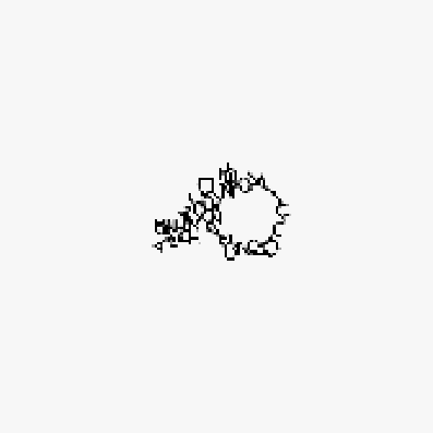 C=C[C@@H]1C[C@]1(NC(=O)C1CC2CN1C(=O)C(C1CCCC1)NC(=O)OC1(C)CC1CCCCCc1cccc3c1CN(C3)C(=O)O2)C(=O)NS(=O)(=O)C1CC1